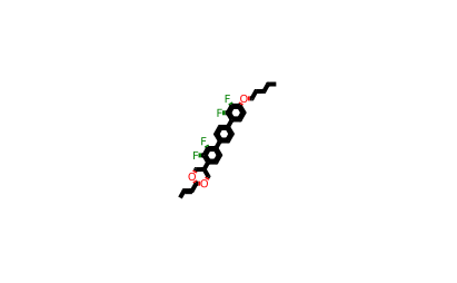 C/C=C/C1OCC(c2ccc(-c3ccc(-c4ccc(OCCCCC)c(F)c4F)cc3)c(F)c2F)CO1